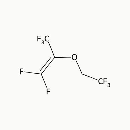 FC(F)=C(OCC(F)(F)F)C(F)(F)F